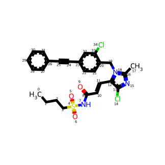 CCCCS(=O)(=O)NC(=O)C=Cc1c(Cl)nc(C)n1Cc1ccc(C#Cc2ccccc2)cc1Cl